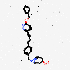 OC1CCN(Cc2ccc(CCC#Cc3ccc(OCc4ccccc4)nn3)cc2)CC1